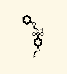 O=S(=O)(NCOc1ccccc1)c1ccc(OCF)cc1